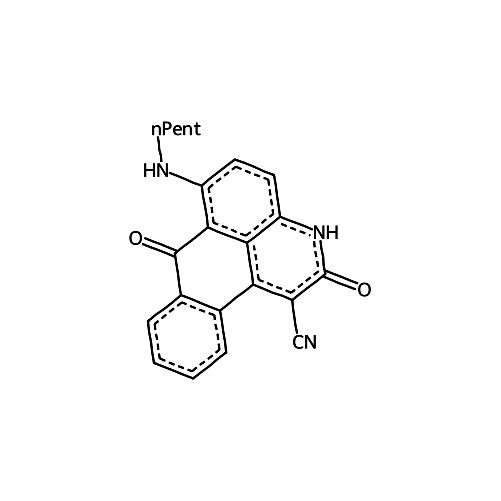 CCCCCNc1ccc2[nH]c(=O)c(C#N)c3c2c1C(=O)c1ccccc1-3